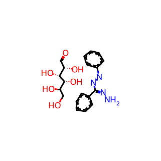 NN=C(N=Nc1ccccc1)c1ccccc1.O=C[C@H](O)[C@@H](O)[C@H](O)[C@H](O)CO